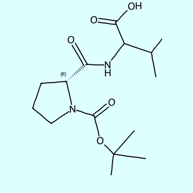 CC(C)C(NC(=O)[C@H]1CCCN1C(=O)OC(C)(C)C)C(=O)O